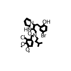 COc1ccc(C(=O)N(CCC(C)C)CC2=C(Cc3cc(Br)ccc3O)N3C=CC=CC3N2)c(Cl)c1OC